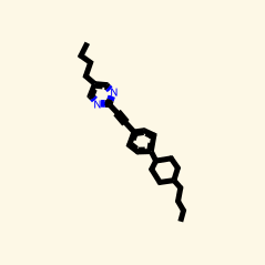 CCCCc1cnc(C#Cc2ccc(C3CCC(CCCC)CC3)cc2)nc1